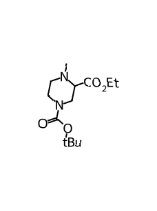 CCOC(=O)C1CN(C(=O)OC(C)(C)C)CCN1C